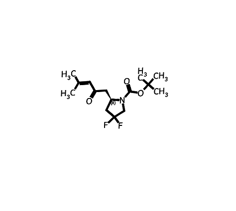 CC(C)=CC(=O)C[C@@H]1CC(F)(F)CN1C(=O)OC(C)(C)C